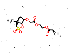 C=CC(=O)OCCOC(=O)COC1C2CC3C1OS(=O)(=O)C3C2C